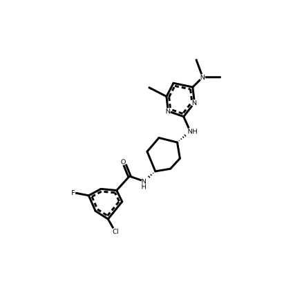 Cc1cc(N(C)C)nc(N[C@H]2CC[C@@H](NC(=O)c3cc(F)cc(Cl)c3)CC2)n1